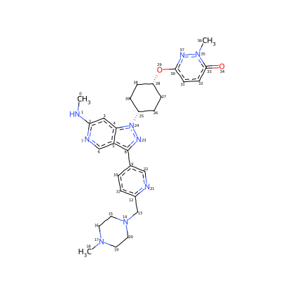 CNc1cc2c(cn1)c(-c1ccc(CN3CCN(C)CC3)nc1)nn2[C@H]1CC[C@@H](Oc2ccc(=O)n(C)n2)CC1